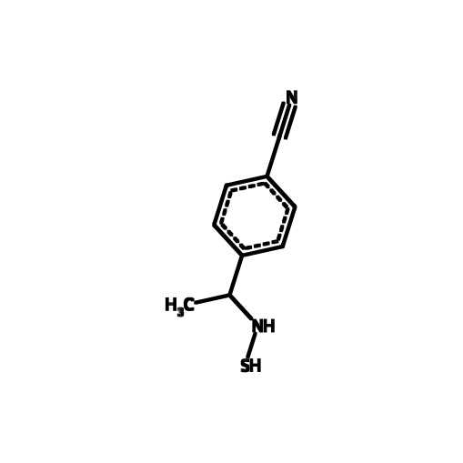 CC(NS)c1ccc(C#N)cc1